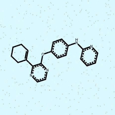 C1=C(c2nccnc2Oc2ccc(Nc3ccccn3)cc2)CCCC1